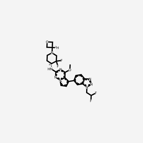 [2H]C1(N2CC[C@@H](Nc3nc(OC)c4c(-c5ccc6nnn(CC(F)F)c6c5)ccn4n3)C(F)(F)C2)COC1